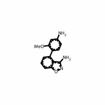 COc1cc(N)ccc1-c1cccc2onc(N)c12